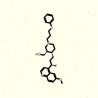 COc1ccc2nccc([C@H](F)CC[C@@H]3CCN(CCCSc4ccccc4)C[C@@H]3CO)c2c1